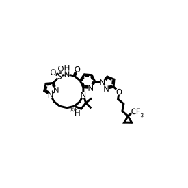 CC1(C)C[C@H]2CCCn3ccc(n3)S(=O)(=O)NC(=O)c3ccc(-n4ccc(OCCCC5(C(F)(F)F)CC5)n4)nc3N1C2